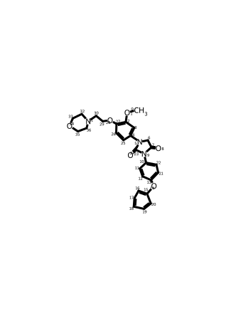 COc1cc(N2CC(=O)N(c3ccc(Oc4ccccc4)cc3)C2=O)ccc1OCCN1CCOCC1